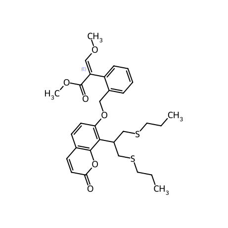 CCCSCC(CSCCC)c1c(OCc2ccccc2/C(=C\OC)C(=O)OC)ccc2ccc(=O)oc12